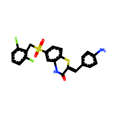 Nc1ccc(C=C2Sc3ccc(S(=O)(=O)Cc4c(F)cccc4F)cc3NC2=O)cc1